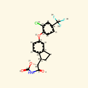 O=C1NC(=O)[C@@H]([C@@H]2CCc3cc(Oc4ccc(C(F)(F)F)cc4Cl)ccc32)O1